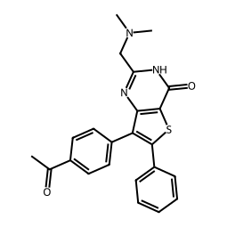 CC(=O)c1ccc(-c2c(-c3ccccc3)sc3c(=O)[nH]c(CN(C)C)nc23)cc1